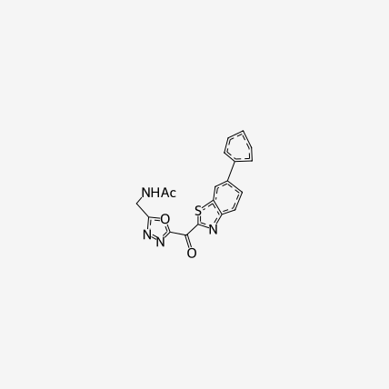 CC(=O)NCc1nnc(C(=O)c2nc3ccc(-c4ccccc4)cc3s2)o1